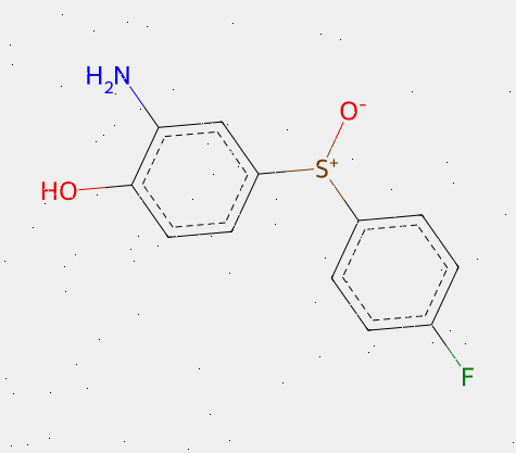 Nc1cc([S+]([O-])c2ccc(F)cc2)ccc1O